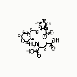 NC(CCC(=O)O)C(=O)O.O=[N+]([O-])c1cncn1CCN1CCOCC1